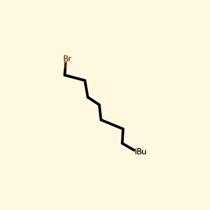 CCC(C)CCCCCCCBr